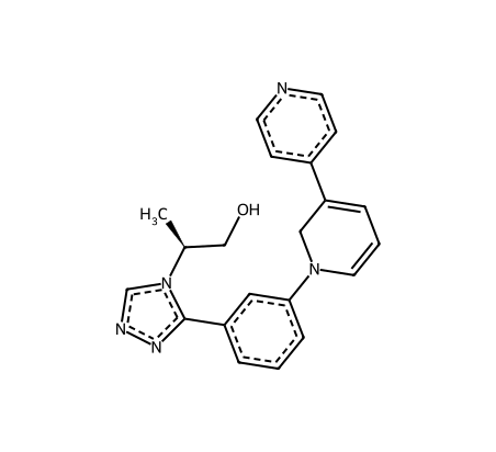 C[C@@H](CO)n1cnnc1-c1cccc(N2C=CC=C(c3ccncc3)C2)c1